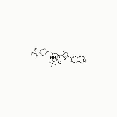 CC(C)(C)OC(=O)N(CC(N)Cc1ccc(C(F)(F)F)cc1)c1ncc(-c2ccc3cnncc3c2)s1